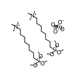 CO[Si](CCCCCCCC[N+](C)(C)C)(OC)OC.CO[Si](CCCCCCCC[N+](C)(C)C)(OC)OC.[O]=[Mo](=[O])([O-])[O-]